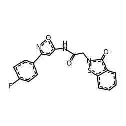 O=C(Cn1sc2ccccc2c1=O)Nc1cc(-c2ccc(F)cc2)no1